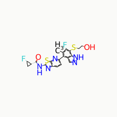 Cc1c(F)c(SCCO)c2[nH]ncc2c1-c1ccc2nc(NC(=O)[C@@H]3C[C@@H]3F)sc2n1